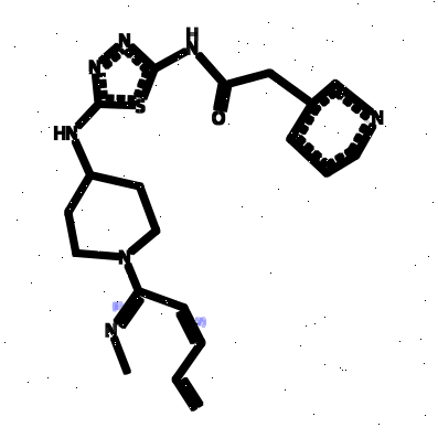 C=C/C=C\C(=N/C)N1CCC(Nc2nnc(NC(=O)Cc3cccnc3)s2)CC1